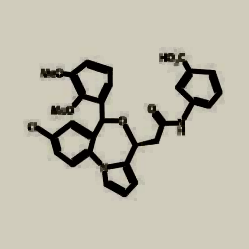 COc1cccc(C2O[C@@H](CC(=O)Nc3cccc(C(=O)O)c3)c3cccn3-c3ccc(Cl)cc32)c1OC